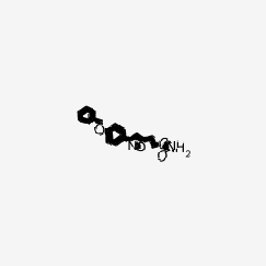 NC(=O)OCCc1cc(-c2ccc(OCc3ccccc3)cc2)no1